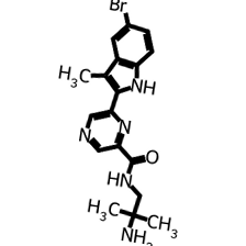 Cc1c(-c2cncc(C(=O)NCC(C)(C)N)n2)[nH]c2ccc(Br)cc12